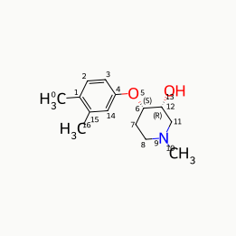 Cc1ccc(O[C@H]2CCN(C)C[C@H]2O)cc1C